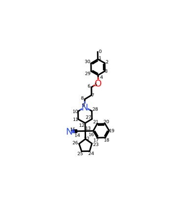 Cc1ccc(OCCCN2CCC(C(C#N)(c3ccccc3)C3CCCC3)CC2)cc1